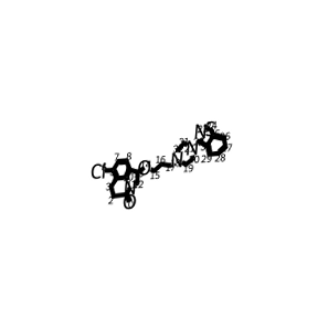 O=C1CCc2c(Cl)ccc3c2N1CC3OCCCN1CCN(c2nsc3ccccc23)CC1